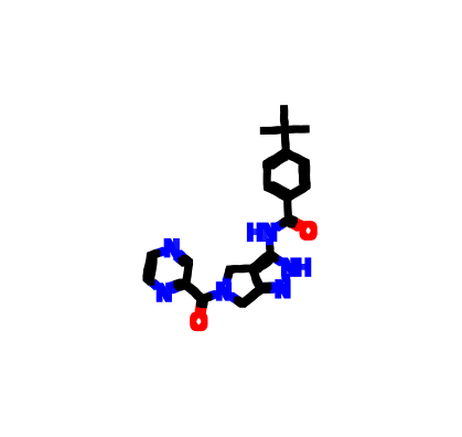 CC(C)(C)c1ccc(C(=O)Nc2[nH]nc3c2CN(C(=O)c2cnccn2)C3)cc1